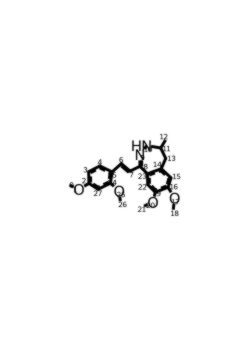 COc1ccc(/C=C/C2=NNC(C)Cc3cc(OC)c(OC)cc32)c(OC)c1